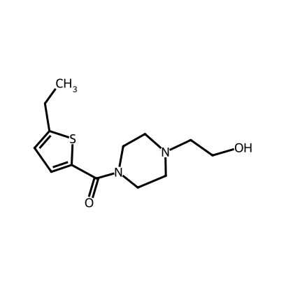 CCc1ccc(C(=O)N2CCN(CCO)CC2)s1